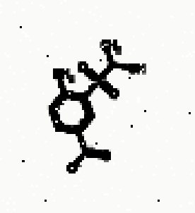 CC(O)S(=O)(=O)c1cc([N+](=O)[O-])ccc1N